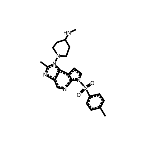 CNC1CCN(n2c(C)nc3cnc4c(ccn4S(=O)(=O)c4ccc(C)cc4)c32)CC1